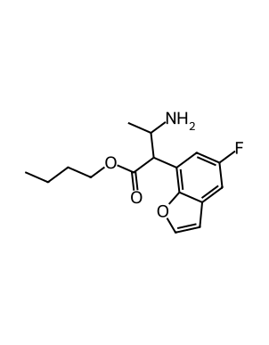 CCCCOC(=O)C(c1cc(F)cc2ccoc12)C(C)N